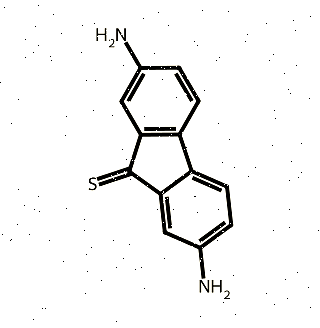 Nc1ccc2c(c1)C(=S)c1cc(N)ccc1-2